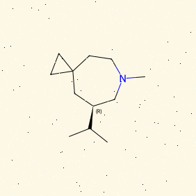 CC(C)[C@@H]1CN(C)CCC2(CC2)C1